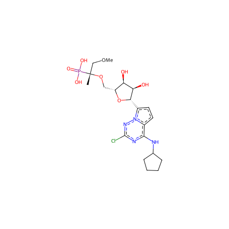 COC[C@](C)(OC[C@H]1O[C@@H](c2ccc3c(NC4CCCC4)nc(Cl)nn23)[C@H](O)[C@@H]1O)P(=O)(O)O